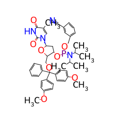 COc1ccc(C(OCC2O[C@@H](n3cc(C)c(=O)[nH]c3=O)CC2OP(OCc2cccc(C#N)c2)N(C(C)C)C(C)C)(c2ccccc2)c2ccc(OC)cc2)cc1